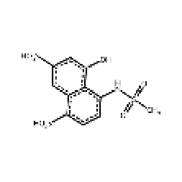 CS(=O)(=O)Nc1ccc(S(=O)(=O)O)c2cc(S(=O)(=O)O)cc(O)c12